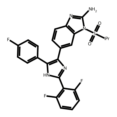 CC(C)S(=O)(=O)n1c(N)nc2ccc(-c3nc(-c4c(F)cccc4F)[nH]c3-c3ccc(F)cc3)cc21